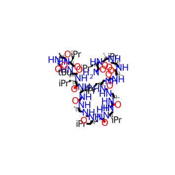 CC(C)C[C@@H](CNC(=O)N[C@@H](C)C(=O)N[C@@H](CC(C)C)C(=O)N[C@@H](C)C(=O)N[C@@H](CC(C)C)C(N)=O)NC(=O)NC[C@H](C)NC(=O)NC[C@@H](NC(=O)NC[C@H](CC(C)C)NC(=O)NC[C@H](C)NC(=O)NC[C@@H](NC(=O)[C@H](CC(C)C)NC(=O)[C@H](C)NC(=O)[C@H](CC(C)C)NC(=O)[C@H](C)NC(=O)OC(C)(C)C)C(C)C)C(C)C